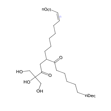 CCCCCCCC/C=C\CCCCCC(CC(=O)C(O)(CO)CO)C(=O)CCCCCCCCCCCCCCC